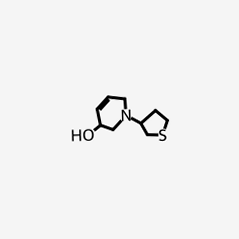 OC1C=CCN(C2CCSC2)C1